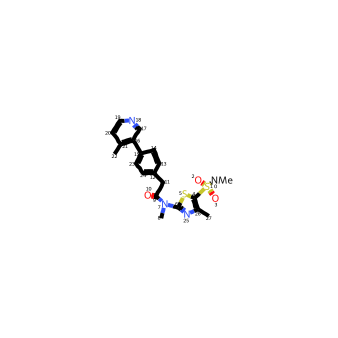 CNS(=O)(=O)c1sc(N(C)C(=O)Cc2ccc(-c3cnccc3C)cc2)nc1C